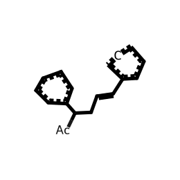 CC(=O)C(CC=Cc1ccccc1)c1ccccc1